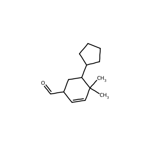 CC1(C)C=CC(C=O)CC1C1CCCC1